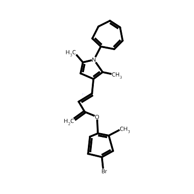 C=C(/C=C/c1cc(C)n(C2=CCC=CC=C2)c1C)Oc1ccc(Br)cc1C